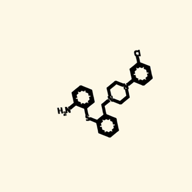 Nc1ccccc1Sc1ccccc1CN1CCN(c2cccc(Cl)c2)CC1